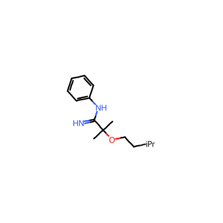 CC(C)CCOC(C)(C)C(=N)Nc1ccccc1